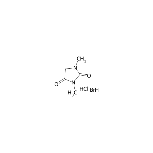 Br.CN1CC(=O)N(C)C1=O.Cl